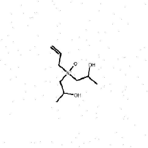 C=CC[N+]([O-])(CC(C)O)CC(C)O